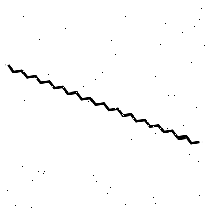 [CH2]CC=CCCCCCCCCCCCCCCCCCCCCCCCC[CH2]